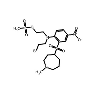 CN1CCCC(S(=O)(=O)c2cc([N+](=O)[O-])ccc2N(CCBr)CCOS(C)(=O)=O)CC1